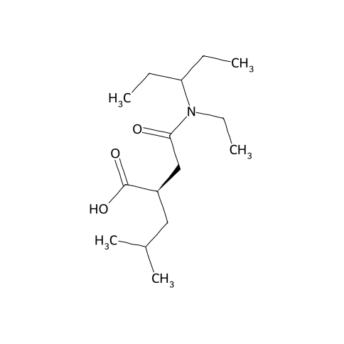 CCC(CC)N(CC)C(=O)C[C@@H](CC(C)C)C(=O)O